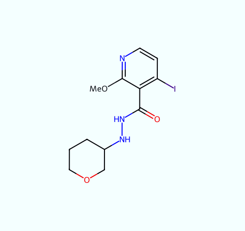 COc1nccc(I)c1C(=O)NNC1CCCOC1